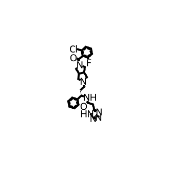 O=C(Cc1nnn[nH]1)N[C@@H](CCN1CC2CN(C(=O)c3c(F)cccc3Cl)CC2C1)c1ccccc1